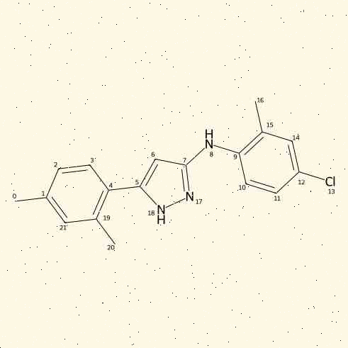 Cc1ccc(-c2cc(Nc3ccc(Cl)cc3C)n[nH]2)c(C)c1